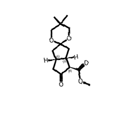 COC(=O)[C@H]1C(=O)C[C@@H]2CC3(C[C@@H]21)OCC(C)(C)CO3